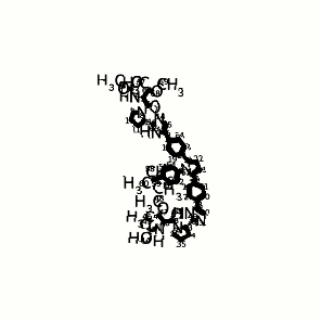 COC(=O)N[C@@H](C(=O)N1CCC[C@H]1c1ncc(-c2ccc(-c3ccc(-c4ccc(-c5cnc([C@@H]6CCCN6C(=O)[C@@H](NC(=O)O)[C@H](C)OC)[nH]5)cc4)n3-c3ccc(C(C)(C)C)cc3)cc2)[nH]1)C(C)OC